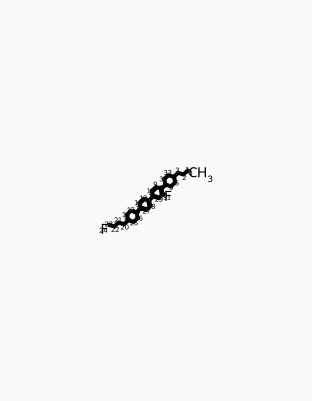 CCCCC1CCC(c2ccc(-c3ccc(C4CCC(CCCCF)CC4)cc3)cc2F)CC1